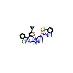 O=C(NCc1nnc2n1-c1sc(C3CC3)cc1C(c1ccccc1Cl)=NC2)Nc1ccccc1Cl